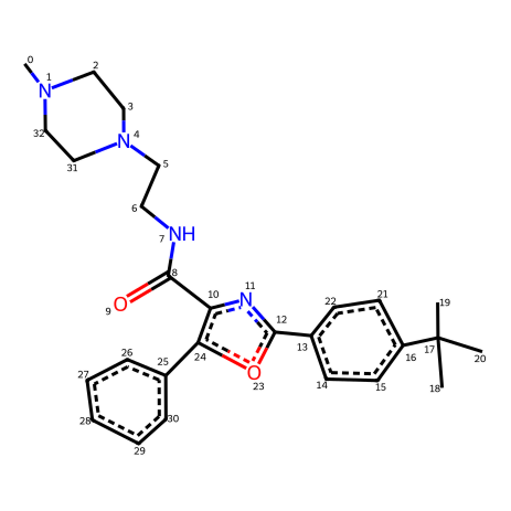 CN1CCN(CCNC(=O)c2nc(-c3ccc(C(C)(C)C)cc3)oc2-c2ccccc2)CC1